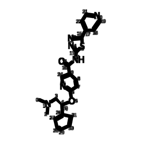 CN(C)C[C@@H](Oc1ccc(C(=O)Nc2nnc(-c3ccncc3)s2)cn1)c1ccccc1